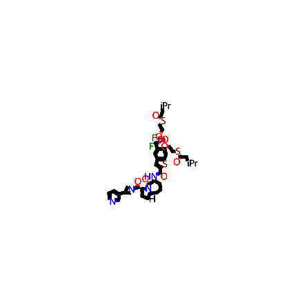 CC(C)CC(=O)SCCOP(=O)(OCCSC(=O)CC(C)C)C(F)(F)c1ccc2sc(C(=O)NC3CCC[C@H]4CC[C@@H](C(=O)N5CC(c6cccnc6)C5)N4C3=O)cc2c1